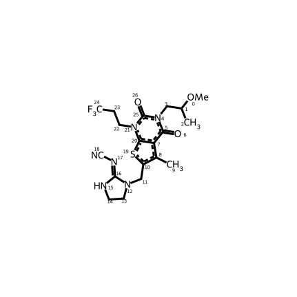 COC(C)Cn1c(=O)c2c(C)c(CN3CCNC3=NC#N)sc2n(CCC(F)(F)F)c1=O